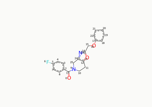 O=C(c1ccc(F)cc1)N1CCc2oc(COc3ccccc3)nc2C1